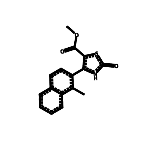 COC(=O)c1sc(=O)[nH]c1-c1ccc2ccccc2c1C